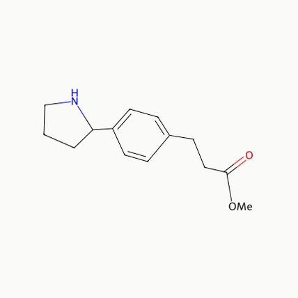 COC(=O)CCc1ccc(C2CCCN2)cc1